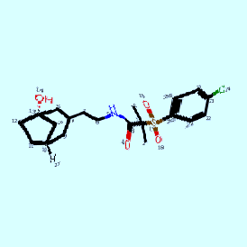 CC(C)(C(=O)NCCC1C[C@@H]2CC[C@@](O)(C1)C2)S(=O)(=O)c1ccc(Cl)cc1